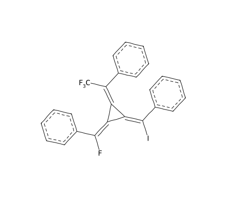 F/C(=C1\C(=C(I)c2ccccc2)\C1=C(/c1ccccc1)C(F)(F)F)c1ccccc1